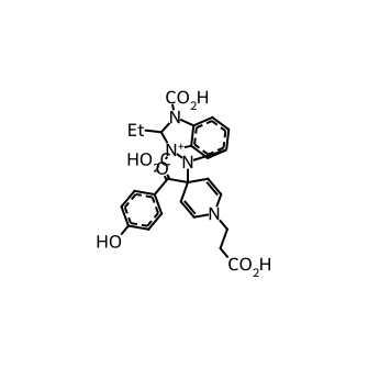 CCC1N(C(=O)O)c2ccc3cc2[N+]1(C(=O)O)N3C1(C(=O)c2ccc(O)cc2)C=CN(CCC(=O)O)C=C1